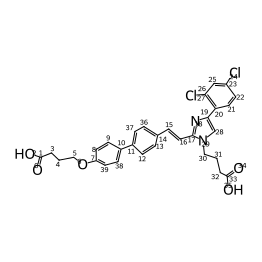 O=C(O)CCCOc1ccc(-c2ccc(C=Cc3nc(-c4ccc(Cl)cc4Cl)cn3CCCC(=O)O)cc2)cc1